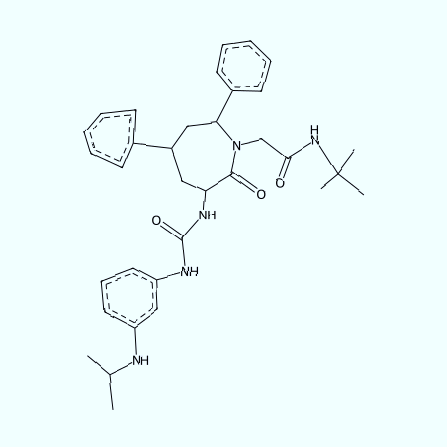 CC(C)Nc1cccc(NC(=O)NC2CC(c3ccccc3)CC(c3ccccc3)N(CC(=O)NC(C)(C)C)C2=O)c1